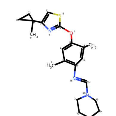 Cc1cc(Oc2nc(C3(C)CC3)cs2)c(C)cc1N=CN1CCCCC1